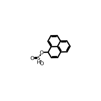 O=[SH](=O)OC1C=Cc2cccc3cccc1c23